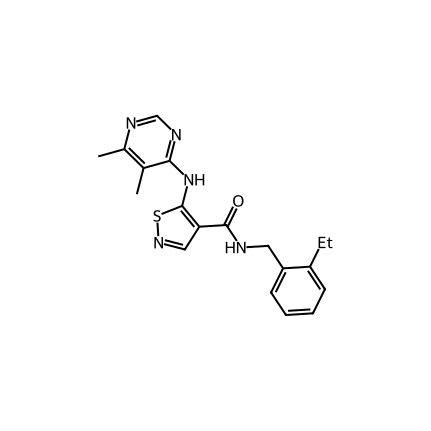 CCc1ccccc1CNC(=O)c1cnsc1Nc1ncnc(C)c1C